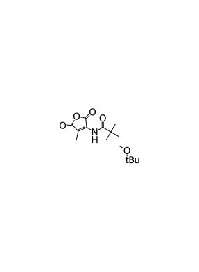 CC1=C(NC(=O)C(C)(C)CCOC(C)(C)C)C(=O)OC1=O